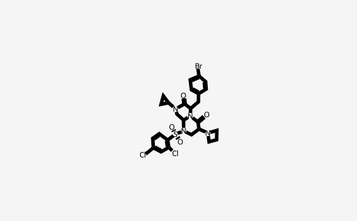 O=C1C(Cc2ccc(Br)cc2)N2C(=O)C(N3CCC3)CN(S(=O)(=O)c3ccc(Cl)cc3Cl)C2CN1C1CC1